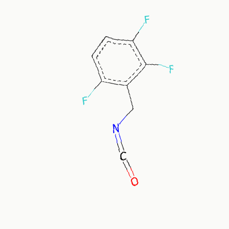 O=C=NCc1c(F)ccc(F)c1F